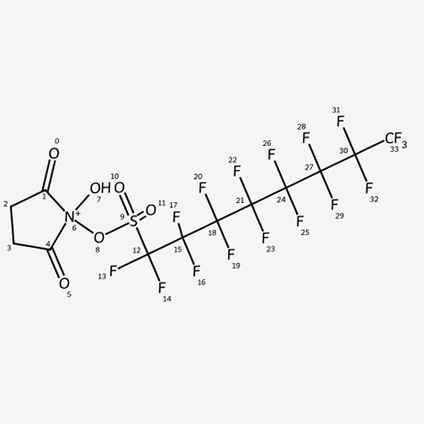 O=C1CCC(=O)[N+]1(O)OS(=O)(=O)C(F)(F)C(F)(F)C(F)(F)C(F)(F)C(F)(F)C(F)(F)C(F)(F)C(F)(F)F